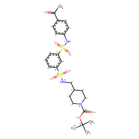 CC(=O)c1ccc(NS(=O)(=O)c2cccc(S(=O)(=O)NCC3CCN(C(=O)OC(C)(C)C)CC3)c2)cc1